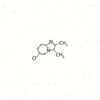 Cc1nc2ccc(Cl)cn2c1C